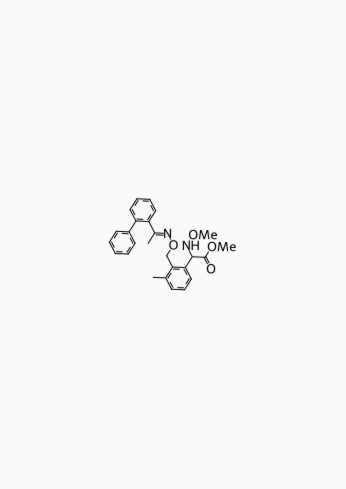 CONC(C(=O)OC)c1cccc(C)c1CO/N=C(\C)c1ccccc1-c1ccccc1